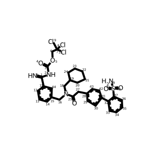 N=C(NC(=O)OCC(Cl)(Cl)Cl)c1cccc(CN(CC2CCCCC2)C(=O)Cc2ccc(-c3ccccc3S(N)(=O)=O)cc2)c1